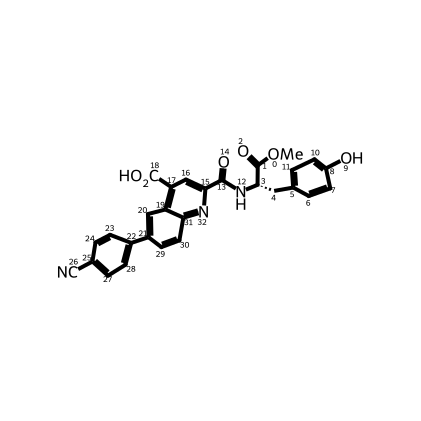 COC(=O)[C@H](Cc1ccc(O)cc1)NC(=O)c1cc(C(=O)O)c2cc(-c3ccc(C#N)cc3)ccc2n1